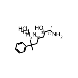 C[C@H](N)[C@@H](O)C[C@@H](N)CC(C)(C)c1ccccc1.Cl.Cl